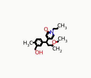 C=C(CC(c1ccc(C)c(CO)c1)c1ccn(CCC)c(=O)c1)OCC